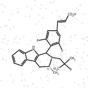 C[C@@H]1Cc2c([nH]c3ccccc23)C(c2c(F)cc(/C=C/C(=O)O)cc2F)N1CC(C)(C)F